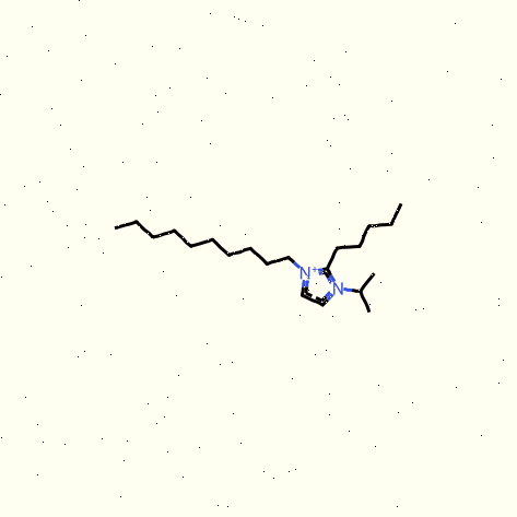 CCCCCCCCCC[n+]1ccn(C(C)C)c1CCCCC